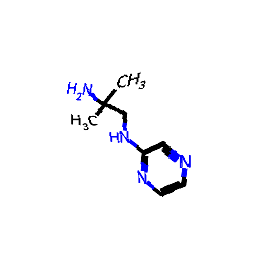 CC(C)(N)CNc1cnccn1